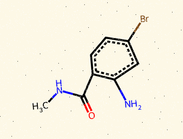 CNC(=O)c1ccc(Br)cc1N